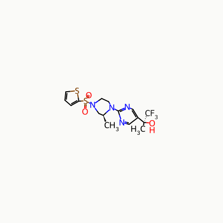 C[C@H]1CN(S(=O)(=O)c2cccs2)CCN1c1ncc([C@](C)(O)C(F)(F)F)cn1